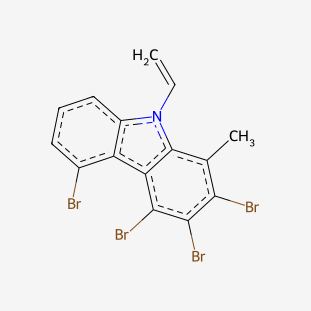 C=Cn1c2cccc(Br)c2c2c(Br)c(Br)c(Br)c(C)c21